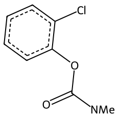 CNC(=O)Oc1ccccc1Cl